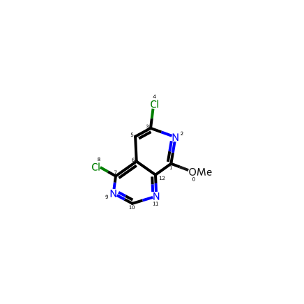 COc1nc(Cl)cc2c(Cl)ncnc12